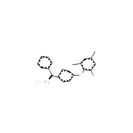 Cc1cc(C)c(Oc2ccc(C(=NO)c3ccccc3)cc2)c(C)c1